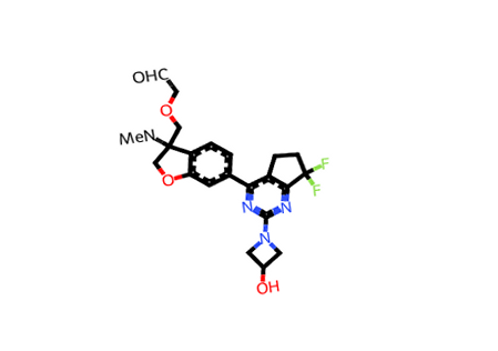 CNC1(COCC=O)COc2cc(-c3nc(N4CC(O)C4)nc4c3CCC4(F)F)ccc21